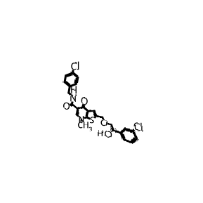 Cn1cc(C(=O)NCc2ccc(Cl)cc2)c(=O)c2cc(COC[C@@H](O)c3cccc(Cl)c3)sc21